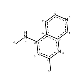 CNc1nc(C)nc2cnccc12